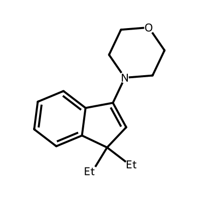 CCC1(CC)C=C(N2CCOCC2)c2ccccc21